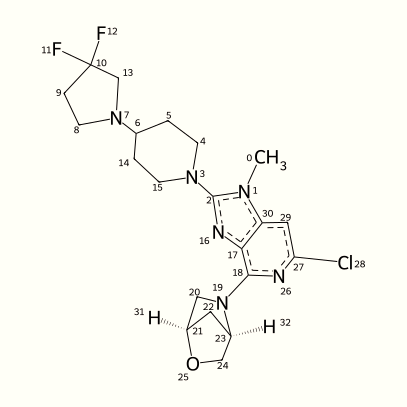 Cn1c(N2CCC(N3CCC(F)(F)C3)CC2)nc2c(N3C[C@H]4C[C@@H]3CO4)nc(Cl)cc21